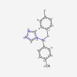 Cc1ccc(CN(c2ccc(C#N)cc2)n2cnnc2)cc1